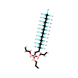 CCCO[Si](CCC(F)(F)C(F)(F)C(F)(F)C(F)(F)C(F)(F)C(F)(F)C(F)(F)C(F)(F)C(F)(F)C(F)(F)F)(OCCC)OCCC